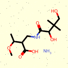 COC(C)C(CNC(=O)C(O)C(C)(C)CO)C(=O)O.N